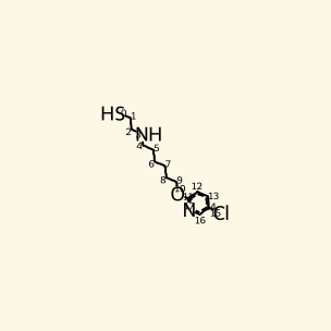 SCCNCCCCCCOc1ccc(Cl)cn1